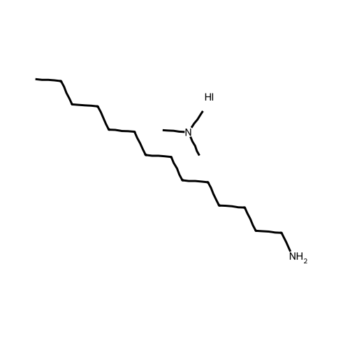 CCCCCCCCCCCCCCN.CN(C)C.I